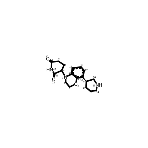 O=C1CCC(N2CCOc3c([C@@H]4CCCNC4)cccc32)C(=O)N1